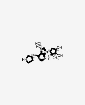 C[C@@]1(O)[C@H](O)[C@H](O)C[C@H]1n1cnc2c(N[C@H]3CCNC3)ncnc21.Cl.Cl